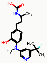 CC(CCc1ccc(N(C)c2cncc(C(C)(C)F)c2)c(O)c1)NC(=O)O